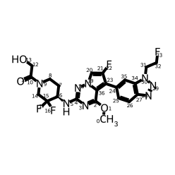 COc1nc(N[C@@H]2CCN(C(=O)CO)CC2(F)F)nn2cc(F)c(-c3ccc4nnn(CCF)c4c3)c12